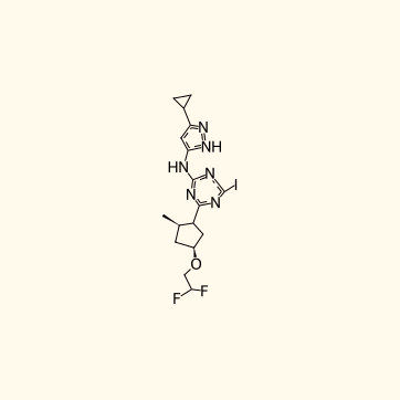 C[C@@H]1C[C@H](OCC(F)F)CC1c1nc(I)nc(Nc2cc(C3CC3)n[nH]2)n1